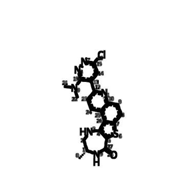 C[C@@H]1CNc2c(sc3ccc4nc(-c5cc(Cl)nnc5N(C)C)ccc4c23)C(=O)N1